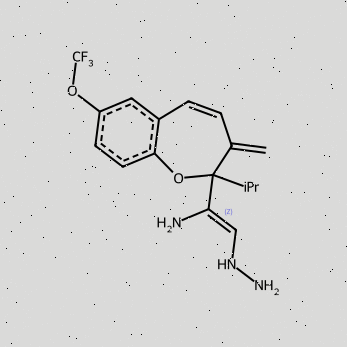 C=C1C=Cc2cc(OC(F)(F)F)ccc2OC1(/C(N)=C/NN)C(C)C